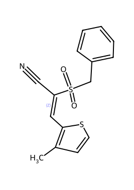 Cc1ccsc1/C=C(/C#N)S(=O)(=O)Cc1ccccc1